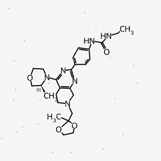 CCNC(=O)Nc1ccc(-c2nc3c(c(N4CCOC[C@@H]4C)n2)CCN(CC2(C)OCCO2)C3)cc1